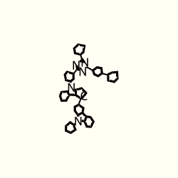 c1ccc(-c2ccc(-c3nc(-c4ccccc4)nc(-c4cccc(-n5c6ccccc6c6c(-c7ccc8c(c7)c7ccccc7n8-c7ccccc7)cccc65)c4)n3)cc2)cc1